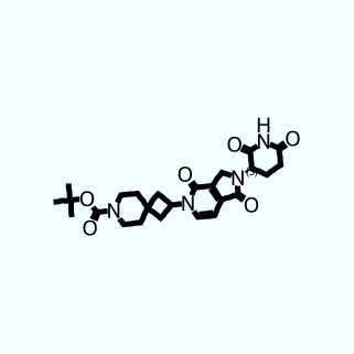 CC(C)(C)OC(=O)N1CCC2(CC1)CC(n1ccc3c(c1=O)CN([C@H]1CCC(=O)NC1=O)C3=O)C2